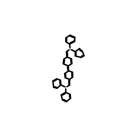 C(=c1ccc(=c2ccc(=CP(c3ccccc3)c3ccccc3)cc2)cc1)P(c1ccccc1)c1ccccc1